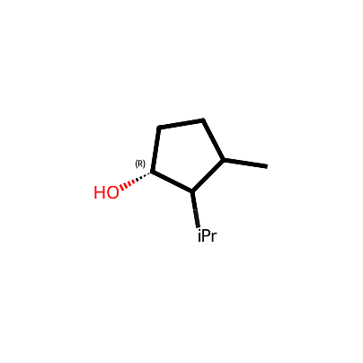 CC(C)C1C(C)CC[C@H]1O